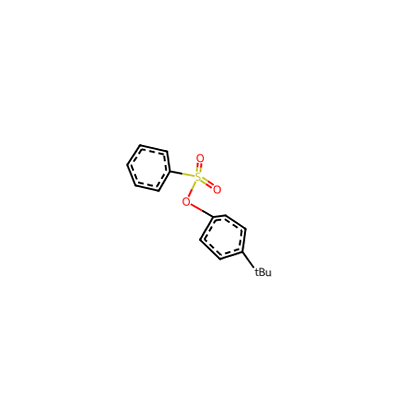 CC(C)(C)c1ccc(OS(=O)(=O)c2ccccc2)cc1